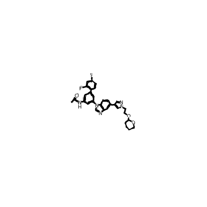 CC(=O)Nc1cc(-c2ccc(F)cc2F)cc(-n2cnc3cc(-c4cnn(CCOC5CCCCO5)c4)ccc32)c1